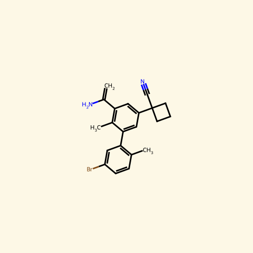 C=C(N)c1cc(C2(C#N)CCC2)cc(-c2cc(Br)ccc2C)c1C